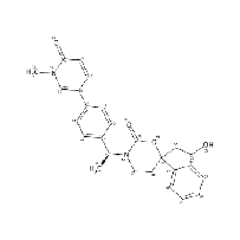 C[C@@H](c1ccc(-c2ccc(=O)n(C)c2)cc1)N1CCC(CCO)(c2ccccc2)OC1=O